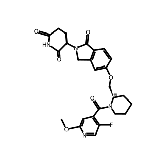 COc1cc(C(=O)N2CCCC[C@@H]2COc2ccc3c(c2)CN(C2CCC(=O)NC2=O)C3=O)c(F)cn1